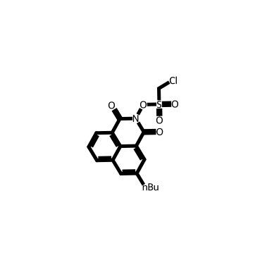 CCCCc1cc2c3c(cccc3c1)C(=O)N(OS(=O)(=O)CCl)C2=O